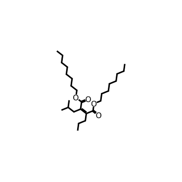 CCCCCCCCOC(=O)C(CCC)=C(CC(C)C)C(=O)OCCCCCCCC